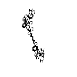 O=C1CCC(N2C(=O)c3cccc(OCC(=O)OCCCCCCOc4cccc(Nc5ncnc6[nH]ccc56)c4)c3C2=O)C(=O)N1